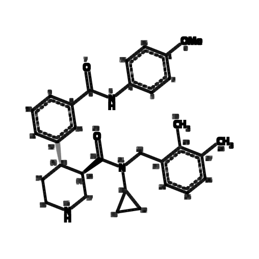 COc1ccc(NC(=O)c2cccc([C@H]3CCNC[C@@H]3C(=O)N(Cc3cccc(C)c3C)C3CC3)c2)cc1